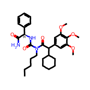 CCCCCN(C(=O)N[C@@H](C(N)=O)c1ccccc1)C(=O)C(c1cc(OC)c(OC)c(OC)c1)C1CCCCC1